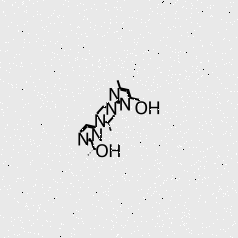 Cc1cc(CO)nc(N2CCN(c3ccnc([C@@H](C)O)n3)[C@H](C)C2)n1